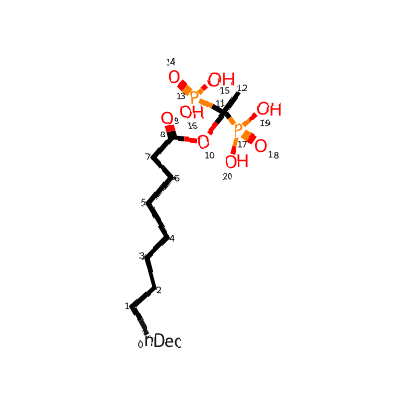 CCCCCCCCCCCCCCCCCC(=O)OC(C)(P(=O)(O)O)P(=O)(O)O